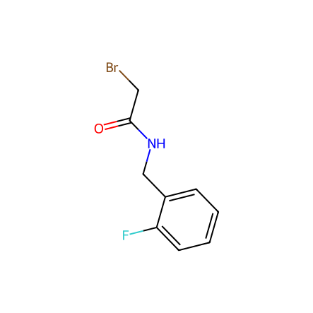 O=C(CBr)NCc1ccccc1F